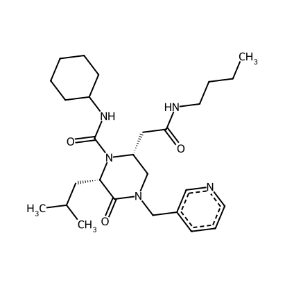 CCCCNC(=O)C[C@@H]1CN(Cc2cccnc2)C(=O)[C@H](CC(C)C)N1C(=O)NC1CCCCC1